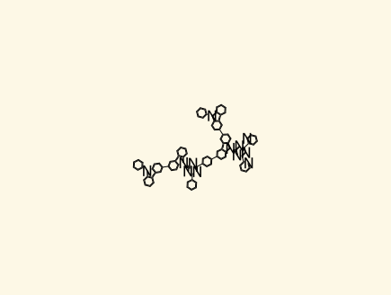 c1ccc(-c2nc(-c3ccc(-c4ccc5c(c4)c4cc(-c6ccc7c(c6)c6ccccc6n7-c6ccccc6)ccc4n5-c4nc(-c5ccccn5)nc(-c5ccccn5)n4)cc3)nc(-n3c4ccccc4c4cc(-c5ccc6c(c5)c5ccccc5n6-c5ccccc5)ccc43)n2)cc1